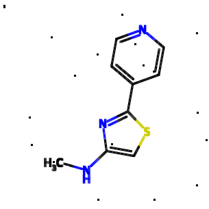 CNc1csc(-c2ccncc2)n1